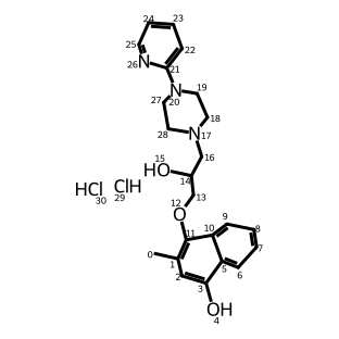 Cc1cc(O)c2ccccc2c1OCC(O)CN1CCN(c2ccccn2)CC1.Cl.Cl